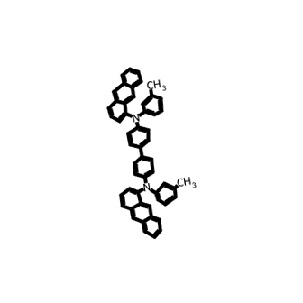 Cc1cccc(N(c2ccc(-c3ccc(N(c4cccc(C)c4)c4cccc5cc6ccccc6cc45)cc3)cc2)c2cccc3cc4ccccc4cc23)c1